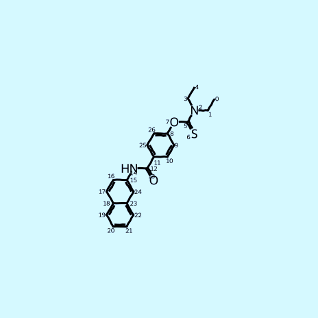 CCN(CC)C(=S)Oc1ccc(C(=O)Nc2ccc3ccccc3c2)cc1